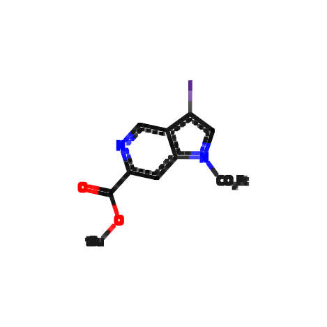 CCOC(=O)n1cc(I)c2cnc(C(=O)OC(C)(C)C)cc21